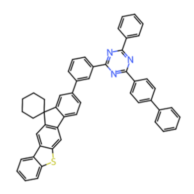 c1ccc(-c2ccc(-c3nc(-c4ccccc4)nc(-c4cccc(-c5ccc6c(c5)C5(CCCCC5)c5cc7c(cc5-6)sc5ccccc57)c4)n3)cc2)cc1